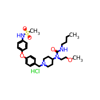 CCCCNC(=O)N(CCOC)C1CCN(Cc2ccc(Oc3ccc(NS(C)(=O)=O)cc3)cc2)CC1.Cl